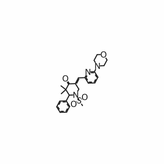 CC1(C)C(=O)/C(=C/c2cccc(N3CCOCC3)n2)CN(S(C)(=O)=O)C1c1ccccc1